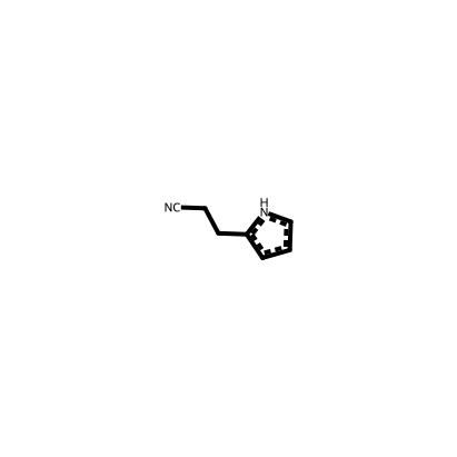 N#CCCc1ccc[nH]1